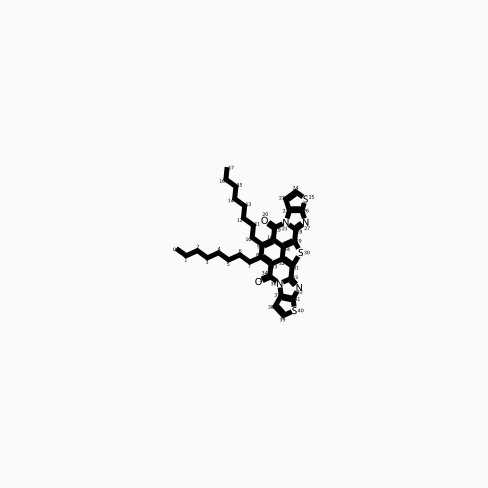 CCCCCCCCc1c(CCCCCCCC)c2c(=O)n3c4ccsc4nc3c3sc4c(c1c(=O)n1c5ccsc5nc41)c23